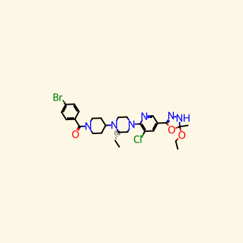 CCOC1(C)NN=C(c2cnc(N3CCN(C4CCN(C(=O)c5ccc(Br)cc5)CC4)[C@@H](CC)C3)c(Cl)c2)O1